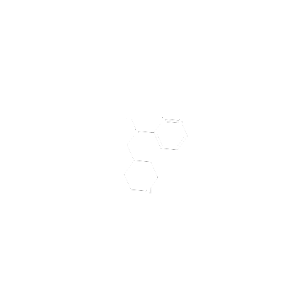 CN(CC1CCNCC1)c1cccnn1.Cl